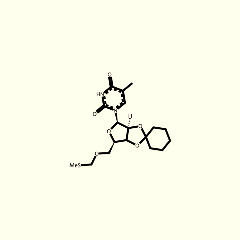 CSCOC[C@H]1O[C@@H](n2cc(C)c(=O)[nH]c2=O)[C@H]2OC3(CCCCC3)OC12